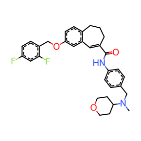 CN(Cc1ccc(NC(=O)C2=Cc3cc(OCc4ccc(F)cc4F)ccc3CCC2)cc1)C1CCOCC1